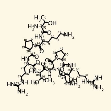 CC(O)[C@@H](N)C(=O)N[C@@H](CCCCN)C(=O)N1CCC[C@H]1C(=O)N[C@H](CCCNC(=N)N)C(=O)N[C@@H](C(=O)N[C@@H](CCCCN)C(=O)N1CCC[C@H]1C(=O)N[C@H](CCCNC(=N)N)C(=O)O)C(C)O